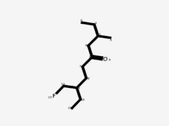 CCC(C)CC(=O)CCC(CC)CF